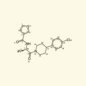 CC(C)[C@@H](NC(=O)c1ccsc1)C(=O)N1CCC(c2ccc(Cl)cc2)CC1